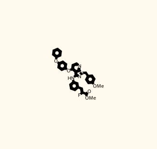 COC(=O)C(F)=Cc1cccc(Nc2nn(Cc3ccc(OC)cc3)c3nccc(Oc4ccc(Oc5ccccc5)cc4)c23)c1